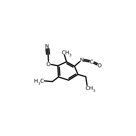 CCc1cc(CC)c(OC#N)c(C)c1N=C=O